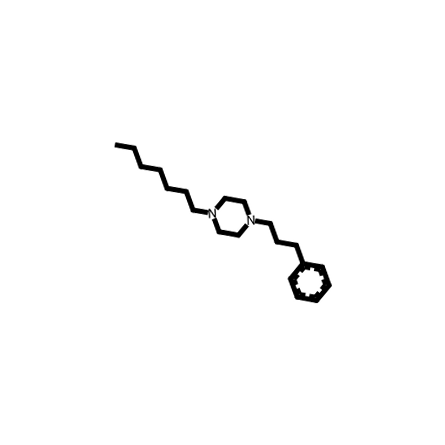 CCCCCCCN1CCN(CCCc2ccccc2)CC1